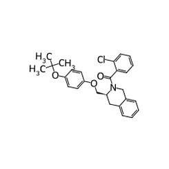 CC(C)(C)Oc1ccc(OC[C@@H]2Cc3ccccc3CN2C(=O)c2ccccc2Cl)cc1